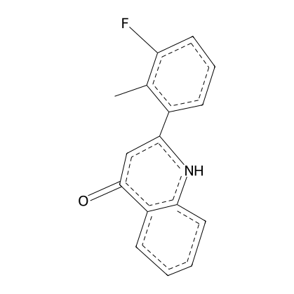 Cc1c(F)cccc1-c1cc(=O)c2ccccc2[nH]1